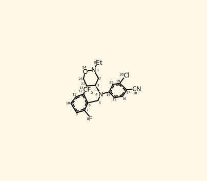 CCN1C[C@@H](N(Cc2c(F)cccc2C(F)(F)F)c2ccc(C#N)c(Cl)c2)CCO1